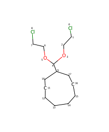 ClCCOC(OCCCl)[C]1CCCCCCCC1